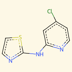 Clc1ccnc(Nc2nccs2)c1